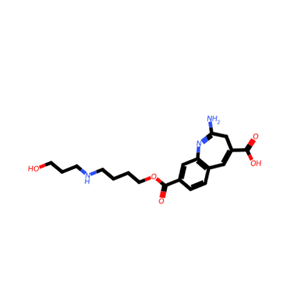 NC1=Nc2cc(C(=O)OCCCCNCCCO)ccc2C=C(C(=O)O)C1